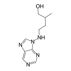 CC(CO)CCNn1cnc2cncnc21